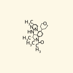 CC(=O)N1c2ccc(C3CCOCC3)cc2[C@H](Nc2nccc(C)n2)[C@@H](C)[C@@H]1C